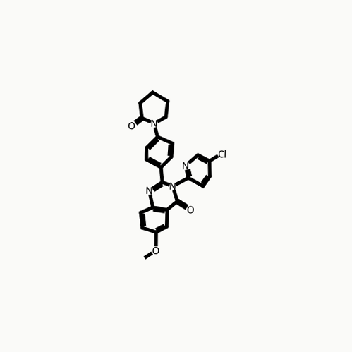 COc1ccc2nc(-c3ccc(N4CCCCC4=O)cc3)n(-c3ccc(Cl)cn3)c(=O)c2c1